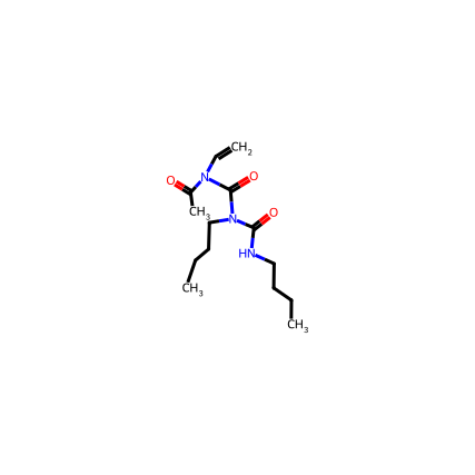 C=CN(C(C)=O)C(=O)N(CCCC)C(=O)NCCCC